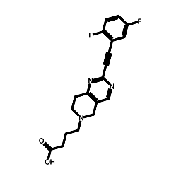 O=C(O)CCCN1CCc2nc(C#Cc3cc(F)ccc3F)ncc2C1